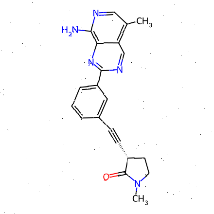 Cc1cnc(N)c2nc(-c3cccc(C#C[C@@H]4CCN(C)C4=O)c3)ncc12